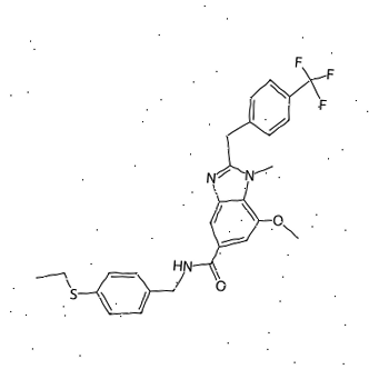 CCSc1ccc(CNC(=O)c2cc(OC)c3c(c2)nc(Cc2ccc(C(F)(F)F)cc2)n3C)cc1